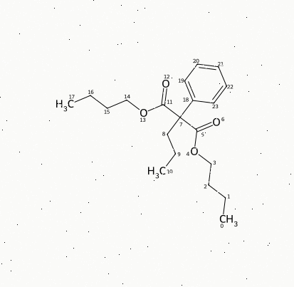 CCCCOC(=O)C(CCC)(C(=O)OCCCC)c1ccccc1